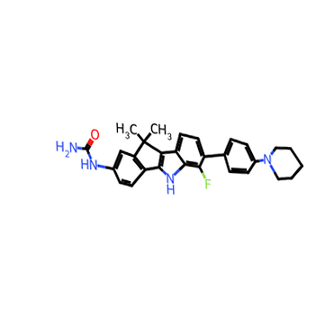 CC1(C)c2cc(NC(N)=O)ccc2-c2[nH]c3c(F)c(-c4ccc(N5CCCCC5)cc4)ccc3c21